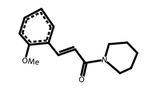 COc1ccccc1C=CC(=O)N1CCCCC1